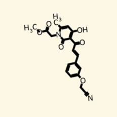 COC(=O)Cn1c(C)cc(O)c(C(=O)/C=C/c2cccc(OCC#N)c2)c1=O